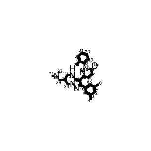 Cc1cc(C)cc(-c2nn3c(c2-c2ccc(=O)n(-c4ccccc4C)n2)NCC(CN(C)C)C3)c1